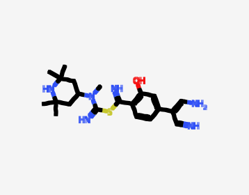 CN(C(=N)SC(=N)c1ccc(/C(C=N)=C/N)cc1O)C1CC(C)(C)NC(C)(C)C1